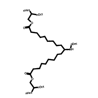 CCCCCCCCCCNC(CCCCCCCCC(=O)OCC(CCCCCC)CCCCCCCC)CCCCCCCCC(=O)OCC(CCCCCC)CCCCCCCC